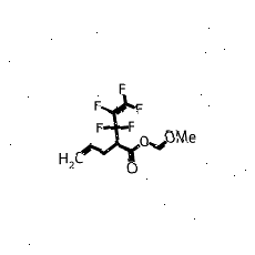 C=CCC(C(=O)OCOC)C(F)(F)C(F)=C(F)F